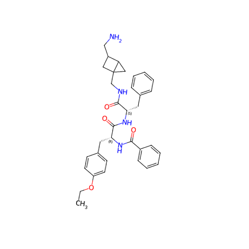 CCOc1ccc(C[C@@H](NC(=O)c2ccccc2)C(=O)N[C@@H](Cc2ccccc2)C(=O)NCC23CC(CN)C2C3)cc1